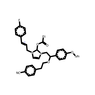 CCCOc1ccc(C(CN2C=CN(C/C=C/c3ccc(F)cc3)C2OC(=O)CC)OCCc2ccc(C#N)cc2)cc1